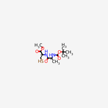 COC(=O)[C@H](CS)NC(=O)[C@H](C)NC(=O)OC(C)(C)C